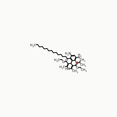 CCCCCCCCCCCCCCCc1c(N)cc(N)c(OC(C)C)c1C1C(C(=O)OCC)=C(C)NC(C)=C1C(=O)OCC